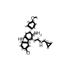 COc1ccc([C@H]2Cc3[nH]c4ccc(Cl)cc4c3[C@@H](CCNCC3CC3)[C@@H]2N)cc1